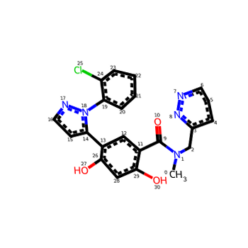 CN(Cc1cccnn1)C(=O)c1cc(-c2ccnn2-c2ccccc2Cl)c(O)cc1O